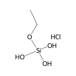 CCO[Si](O)(O)O.Cl